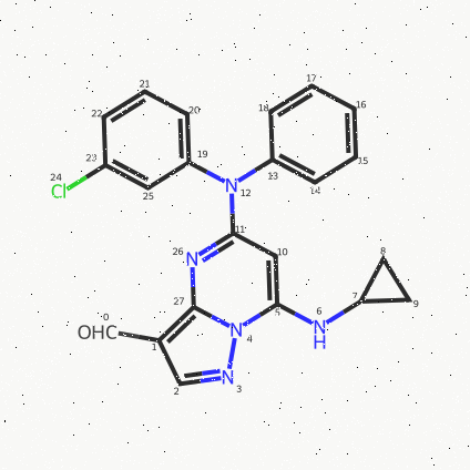 O=Cc1cnn2c(NC3CC3)cc(N(c3ccccc3)c3cccc(Cl)c3)nc12